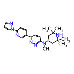 CN(c1ccc(-c2ccc(-n3cccn3)nc2)nn1)C1CC(C)(C)NC(C)(C)C1